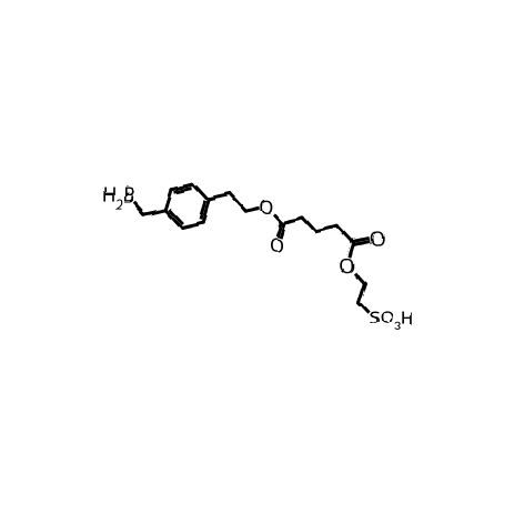 BCc1ccc(CCOC(=O)CCCC(=O)OCCS(=O)(=O)O)cc1